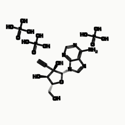 C#C[C@@]1(O)[C@H](O)[C@@H](CO)O[C@H]1n1cnc2c(N)ncnc21.O=P(O)(O)O.O=P(O)(O)O.O=P(O)(O)O